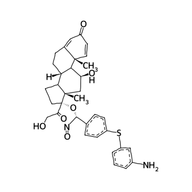 C[C@]12C=CC(=O)C=C1CC[C@@H]1C2[C@@H](O)C[C@@]2(C)C1CC[C@]2(O[C@@H](N=O)c1ccc(Sc2cccc(N)c2)cc1)C(=O)CO